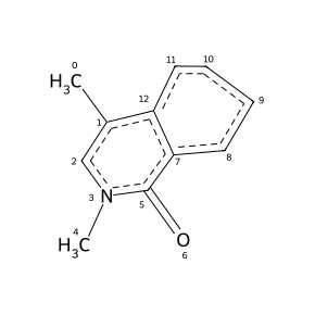 Cc1cn(C)c(=O)c2ccccc12